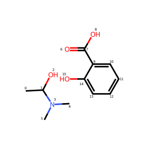 CC(O)N(C)C.O=C(O)c1ccccc1O